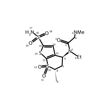 CCN(C(=O)CNC)[C@H]1C[C@H](C)S(=O)(=O)c2sc(S(N)(=O)=O)cc21